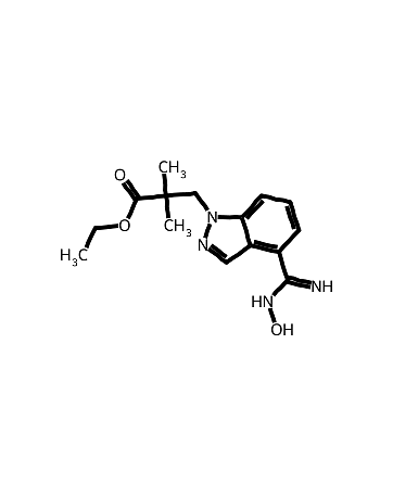 CCOC(=O)C(C)(C)Cn1ncc2c(C(=N)NO)cccc21